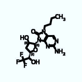 CCCCn1c(=O)n([C@@H]2O[C@H](C(O)C(F)(F)F)C[C@H]2O)c2nc(N)ncc21